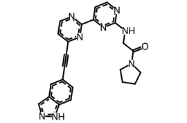 O=C(CNc1nccc(-c2nccc(C#Cc3ccc4[nH]ncc4c3)n2)n1)N1CCCC1